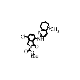 CN1CCCCc2nc(Nc3ccc(Cl)c4c3C(=O)N(C(=O)OC(C)(C)C)C4)ccc21